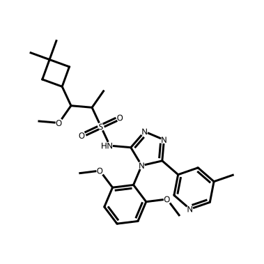 COc1cccc(OC)c1-n1c(NS(=O)(=O)C(C)C(OC)C2CC(C)(C)C2)nnc1-c1cncc(C)c1